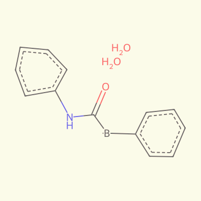 O.O.O=C([B]c1ccccc1)Nc1ccccc1